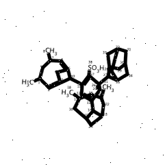 CC1/C=C2\C/C(=C\C(C)C1)C2c1cc(C2C3CC(C)CC(C)CC2C3)cc(C2C3CC4CC(C3)CC2C4)c1S(=O)(=O)O